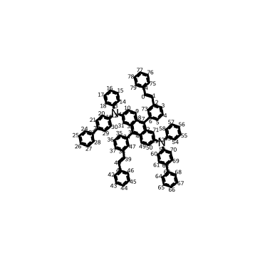 C(=C\c1cccc(-c2c3ccc(N(c4ccccc4)c4ccc(-c5ccccc5)cc4)cc3c(-c3cccc(/C=C/c4ccccc4)c3)c3ccc(N(c4ccccc4)c4ccc(-c5ccccc5)cc4)cc23)c1)/c1ccccc1